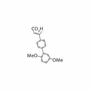 COc1ccc(OC)c(-c2ccc(C(C)=CC(=O)O)cc2)c1